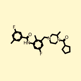 Cc1cc(F)cc(C(=O)Nc2cc(F)cc(CN3CCN(C(=O)C4CCCC4)C(C)C3)c2C)c1